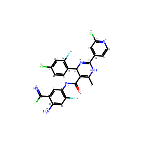 CC1=C(C(=O)Nc2cc(C(=N)Cl)c(N)cc2F)C(c2ccc(Cl)cc2F)N=C(c2ccnc(Cl)c2)N1